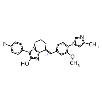 COc1cc(/C=C2\CCCn3c2nc(O)c3-c2ccc(F)cc2)ccc1-n1cnc(C)c1